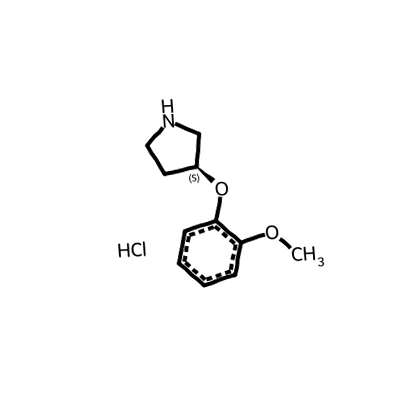 COc1ccccc1O[C@H]1CCNC1.Cl